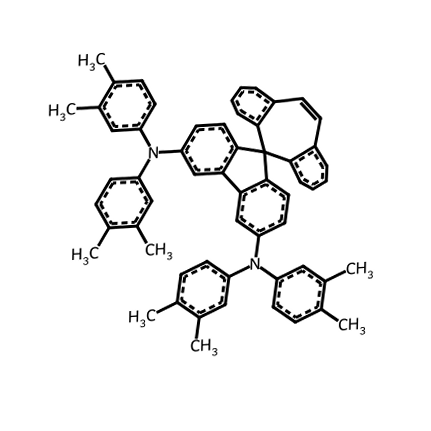 Cc1ccc(N(c2ccc(C)c(C)c2)c2ccc3c(c2)-c2cc(N(c4ccc(C)c(C)c4)c4ccc(C)c(C)c4)ccc2C32c3ccccc3C=Cc3ccccc32)cc1C